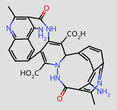 Cc1nc2ccc3cc2c(N)c1C(=O)NC1=C(C(=O)O)C2c4ccc5nc(C)c(c(N)c5c4)C(=O)NN2C(C(=O)O)=C13